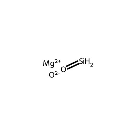 O=[SiH2].[Mg+2].[O-2]